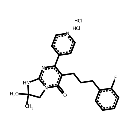 CC1(C)Cn2c(nc(-c3ccncc3)c(CCCc3ccccc3F)c2=O)N1.Cl.Cl